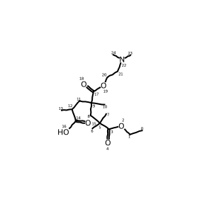 CCOC(=O)C(C)(C)CC(C)(CC(C)C(=O)O)C(=O)OCCN(C)C